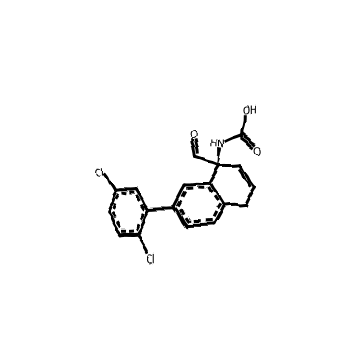 O=C[C@]1(NC(=O)O)C=CCc2ccc(-c3cc(Cl)ccc3Cl)cc21